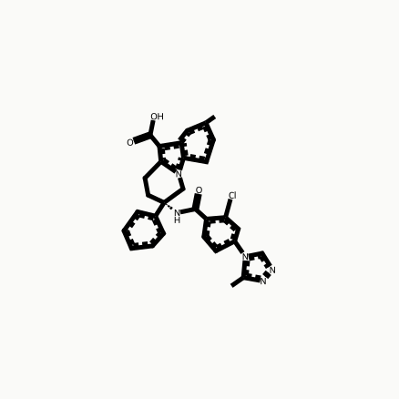 Cc1ccc2c(c1)c(C(=O)O)c1n2C[C@@](NC(=O)c2ccc(-n3cnnc3C)cc2Cl)(c2ccccc2)CC1